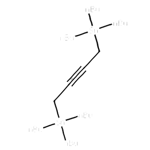 CCC[CH2][Sn]([CH2]C#C[CH2][Sn]([CH2]CCC)([CH2]CCC)[CH2]CCC)([CH2]CCC)[CH2]CCC